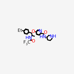 CCc1ccc(C(Oc2ccc(C(=O)N[C@H]3CCCNC3)nc2)C(C)NC(=O)C(F)(F)F)cc1